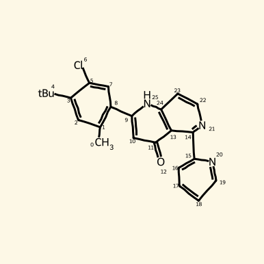 Cc1cc(C(C)(C)C)c(Cl)cc1-c1cc(=O)c2c(-c3ccccn3)nccc2[nH]1